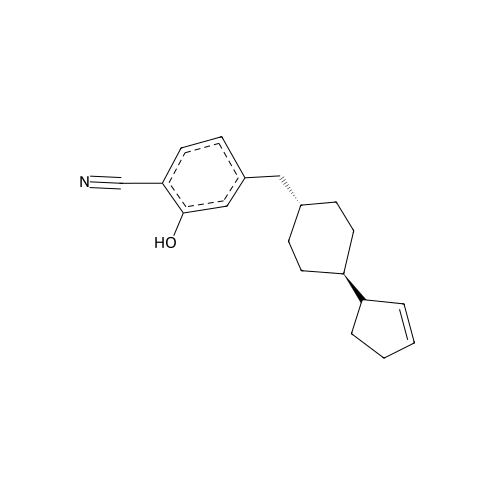 N#Cc1ccc(C[C@H]2CC[C@H](C3C=CCC3)CC2)cc1O